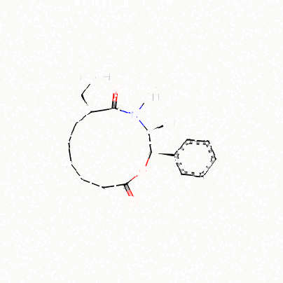 C[C@H]1[C@@H](c2ccccc2)OC(=O)CCCCC[C@@H](CC(=O)O)C(=O)N1C